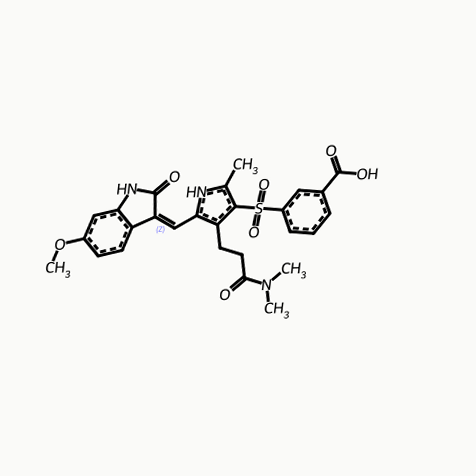 COc1ccc2c(c1)NC(=O)/C2=C\c1[nH]c(C)c(S(=O)(=O)c2cccc(C(=O)O)c2)c1CCC(=O)N(C)C